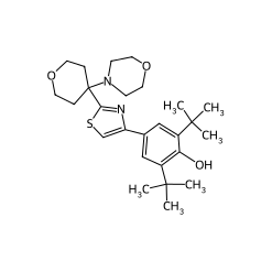 CC(C)(C)c1cc(-c2csc(C3(N4CCOCC4)CCOCC3)n2)cc(C(C)(C)C)c1O